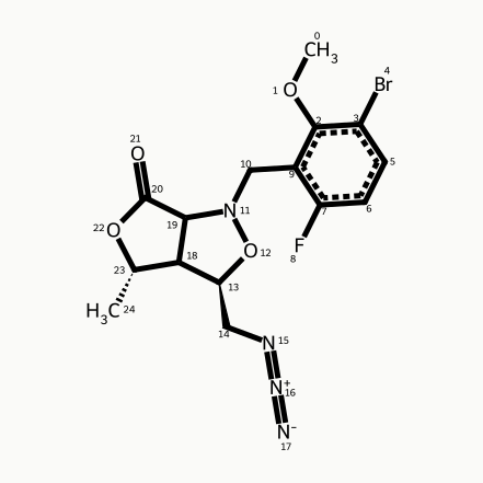 COc1c(Br)ccc(F)c1CN1O[C@@H](CN=[N+]=[N-])C2C1C(=O)O[C@H]2C